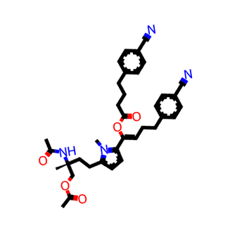 CC(=O)N[C@](C)(CCc1ccc(/C(=C/CCc2ccc(C#N)cc2)OC(=O)CCCc2ccc(C#N)cc2)n1C)COC(C)=O